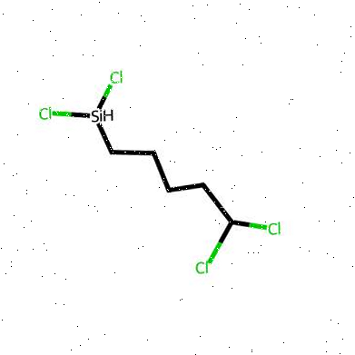 ClC(Cl)CCCC[SiH](Cl)Cl